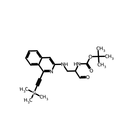 CC(C)(C)OC(=O)NC(C=O)CNc1cc2ccccc2c(C#C[Si](C)(C)C)n1